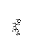 N=C(N[C@@H]1CCCNC1)[C@@H]1CC[C@@H]2CN1C(=O)N2OS(=O)(=O)O